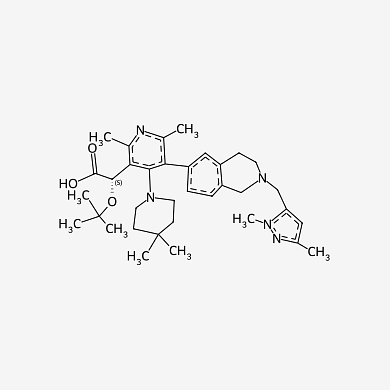 Cc1cc(CN2CCc3cc(-c4c(C)nc(C)c([C@H](OC(C)(C)C)C(=O)O)c4N4CCC(C)(C)CC4)ccc3C2)n(C)n1